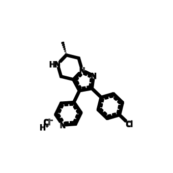 C[C@@H]1Cn2nc(-c3ccc(Cl)cc3)c(-c3ccncc3)c2CN1.[Cl-].[H+]